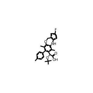 Cc1ccc(-c2c(C)c3c(c(C)c2[C@H](OC(C)(C)C)C(=O)O)Nc2ccc(F)cc2CO3)cc1